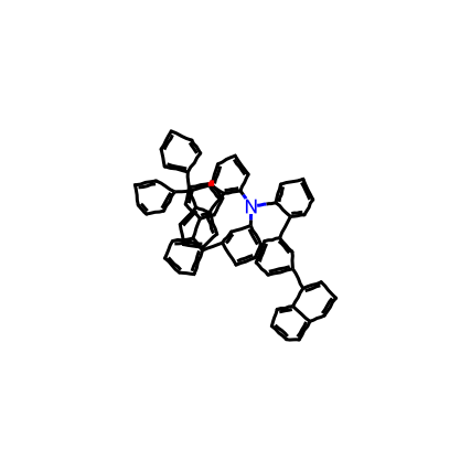 c1ccc(-c2ccccc2-c2cccc(N(c3ccccc3-c3cccc(-c4cccc5ccccc45)c3)c3cccc4c3-c3ccccc3C4(c3ccccc3)c3ccccc3)c2)cc1